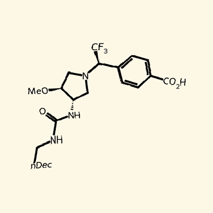 CCCCCCCCCCCNC(=O)N[C@H]1CN([C@H](c2ccc(C(=O)O)cc2)C(F)(F)F)C[C@@H]1OC